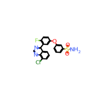 NS(=O)(=O)c1cccc(Oc2ccc(F)c(-c3ncnc4c(Cl)cccc34)c2)c1